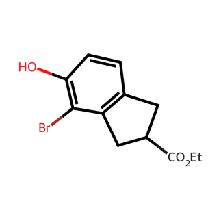 CCOC(=O)C1Cc2ccc(O)c(Br)c2C1